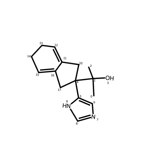 CC(C)(O)C1(c2cnc[nH]2)CC2=CCCC=C2C1